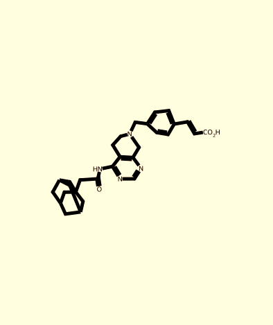 O=C(O)C=Cc1ccc(CN2CCc3c(ncnc3NC(=O)CC34CC5CC(CC(C5)C3)C4)C2)cc1